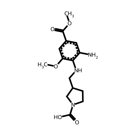 COC(=O)c1cc(N)c(NCC2CCN(C(=O)O)C2)c(OC)c1